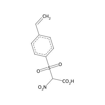 C=Cc1ccc(S(=O)(=O)C(C(=O)O)[N+](=O)[O-])cc1